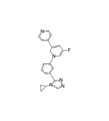 FC1=CN(c2cccc(-c3nncn3C3CC3)c2)CC(c2ccncc2)=C1